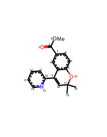 COC(=O)c1ccc2c(c1)C(c1ccccn1)=CC(C)(C)O2